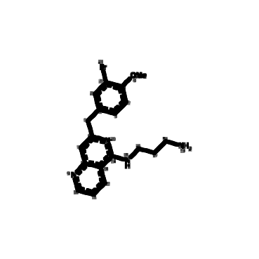 COc1ccc(Cc2cc3ncccc3c(NCCCN)n2)cc1Br